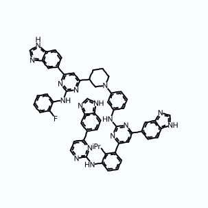 CC(C)c1c(Nc2nccc(-c3ccc4[nH]cnc4c3)n2)cccc1-c1cc(-c2ccc3[nH]cnc3c2)nc(Nc2cccc(N3CCCC(c4cc(-c5ccc6[nH]cnc6c5)nc(Nc5ccccc5F)n4)C3)c2)n1